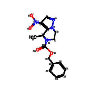 CC1c2c([N+](=O)[O-])cnn2CCN1C(=O)OCc1ccccc1